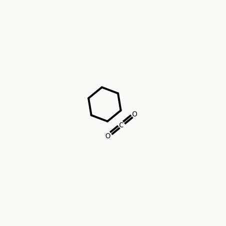 C1CCCCC1.O=C=O